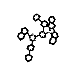 c1ccc(-c2ccc(-c3nc(-c4ccc(-n5c6cc7ccccc7cc6c6ccc7ccccc7c65)c(-c5cccc(-c6ccccc6)c5)c4)nc(-c4cccc5ccccc45)n3)cc2)cc1